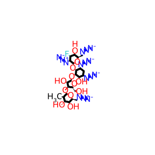 C[C@H]1[C@@H](O[C@H]2[C@@H](O)[C@H](O[C@@H]3[C@@H](O)[C@H](N=[N+]=[N-])C[C@H](N=[N+]=[N-])[C@H]3O[C@H]3O[C@H](CN=[N+]=[N-])[C@H](O)[C@H](F)[C@H]3N=[N+]=[N-])O[C@@H]2CO)O[C@@H](CN=[N+]=[N-])[C@@H](O)[C@@H]1O